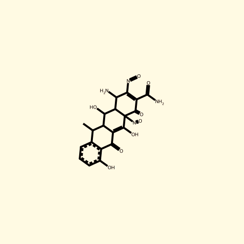 CC1c2cccc(O)c2C(=O)C2=C(O)C3(N=O)C(=O)C(C(N)=O)=C(N=O)C(N)C3C(O)C21